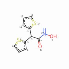 O=C(NO)C(c1cccs1)c1cccs1